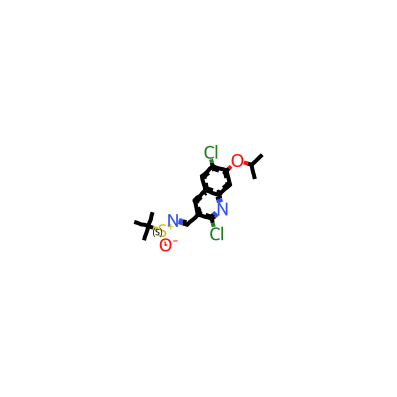 CC(C)Oc1cc2nc(Cl)c(C=N[S@+]([O-])C(C)(C)C)cc2cc1Cl